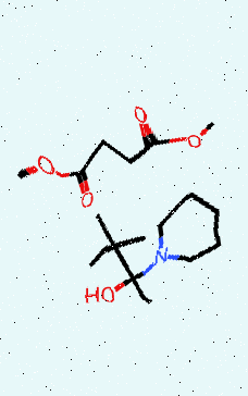 CC(C)(C)C(C)(O)N1CCCCC1.COC(=O)CCC(=O)OC